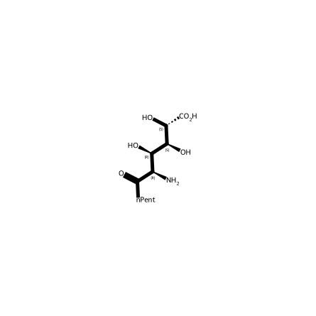 CCCCCC(=O)[C@H](N)[C@@H](O)[C@H](O)[C@H](O)C(=O)O